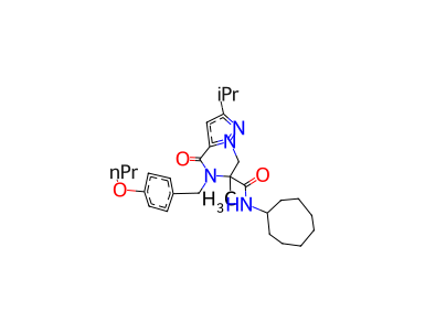 CCCOc1ccc(CN2C(=O)c3cc(C(C)C)nn3CC2(C)C(=O)NC2CCCCCCC2)cc1